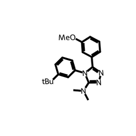 COc1cccc(-c2nnc(N(C)C)n2-c2cccc(C(C)(C)C)c2)c1